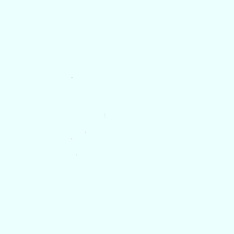 CC(C)(C)c1ccc([I+]c2ccc(C(C)(C)C)cc2)cc1.Cc1ccccc1S(=O)(=O)[O-]